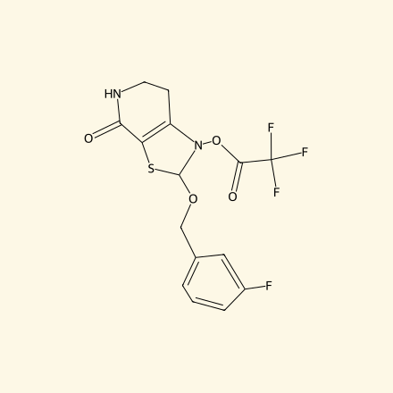 O=C1NCCC2=C1SC(OCc1cccc(F)c1)N2OC(=O)C(F)(F)F